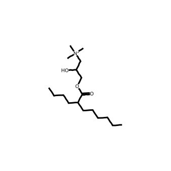 CCCCCCC(CCCC)C(=O)OCC(O)C[N+](C)(C)C